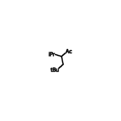 CC(=O)C(CC(C)(C)C)C(C)C